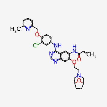 C=CC(=O)Nc1cc2c(Nc3ccc(OCc4cccc(C)n4)c(Cl)c3)ncnc2cc1OCCN1CC2CCC(C1)O2